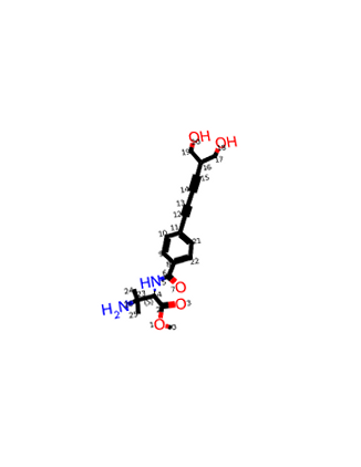 COC(=O)[C@@H](NC(=O)c1ccc(C#CC#CC(CO)CO)cc1)C(C)(C)N